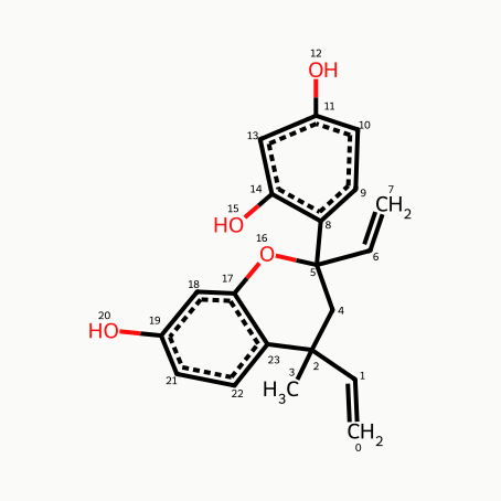 C=CC1(C)CC(C=C)(c2ccc(O)cc2O)Oc2cc(O)ccc21